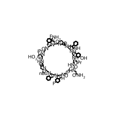 CCCC[C@H]1C(=O)N2CCC[C@@H]2C(=O)N[C@@H](CC(=O)O)C(=O)N[C@@H](C(C)C)C(=O)N(C)[C@@H](Cc2ccc(F)cc2)C(=O)N[C@@H](CCCN)C(=O)N2CCC[C@@H]2C(=O)N[C@@H](Cc2c[nH]c3ccccc23)C(=O)N[C@@H](Cc2ccc(O)cc2)C(=O)N[C@@H](CC(C)C)C(=O)N[C@H](C(=O)NCC(N)=O)CSCC(=O)N[C@@H](Cc2ccc(F)cc2)C(=O)N(C)[C@@H](Cc2ccccc2)C(=O)N1C